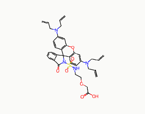 C=CCN(CC=C)c1ccc2c(c1)Oc1cc(N(CC=C)CC=C)ccc1C21c2ccccc2C(=O)N1S(=O)(=O)NCCOCC(=O)O